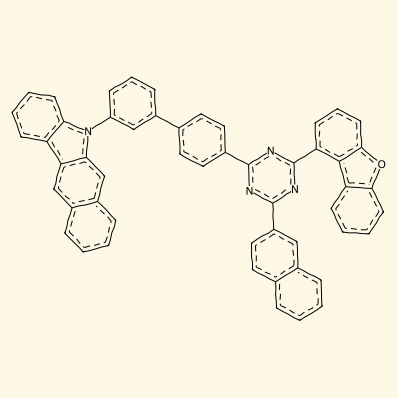 c1cc(-c2ccc(-c3nc(-c4ccc5ccccc5c4)nc(-c4cccc5oc6ccccc6c45)n3)cc2)cc(-n2c3ccccc3c3cc4ccccc4cc32)c1